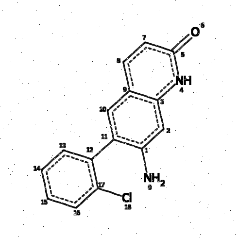 Nc1cc2[nH]c(=O)ccc2cc1-c1ccccc1Cl